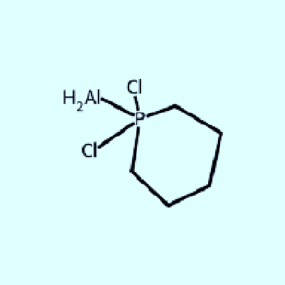 [AlH2][P]1(Cl)(Cl)CCCCC1